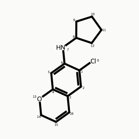 Clc1cc2c(cc1NC1CCCC1)OCC=C2